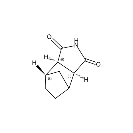 O=C1NC(=O)[C@H]2C3CC[C@@H](C3)[C@@H]12